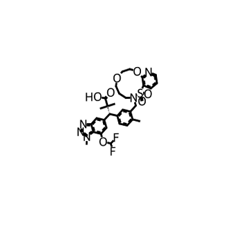 Cc1ccc([C@H](c2cc(OC(F)F)c3c(c2)nnn3C)C(C)(C)C(=O)O)cc1CN1CCCOCCOc2ncccc2S1(=O)=O